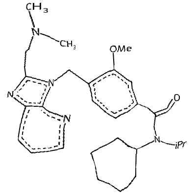 COc1cc(C(=O)N(C(C)C)C2CCCCC2)ccc1Cn1c(CN(C)C)nc2cccnc21